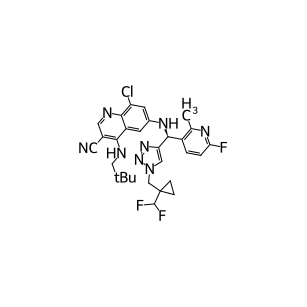 Cc1nc(F)ccc1[C@H](Nc1cc(Cl)c2ncc(C#N)c(NCC(C)(C)C)c2c1)c1cn(CC2(C(F)F)CC2)nn1